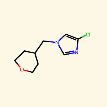 Clc1cn(CC2CCOCC2)cn1